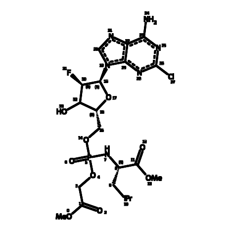 COC(=O)COP(=O)(N[C@@H](CC(C)C)C(=O)OC)OC[C@H]1O[C@H](n2cnc3c(N)nc(Cl)nc32)[C@H](F)C1O